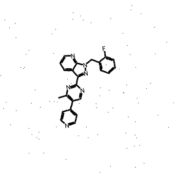 Cc1nc(-c2nn(Cc3ccccc3F)c3ncccc23)ncc1-c1ccncc1